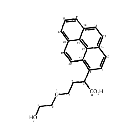 O=C(O)C(CCOCCO)c1ccc2ccc3cccc4ccc1c2c34